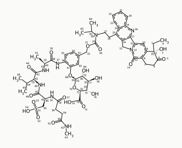 CC[C@@]1(O)C(=O)CCc2c1cc1n(c2=O)Cc2c-1nc1ccccc1c2CCN(C(=O)OCc1ccc(NC(=O)[C@H](C)NC(=O)[C@@H](NC(=O)[C@H](CS(=O)(=O)O)NC(=O)CCC(=O)NC)C(C)C)c(O[C@@H]2O[C@H](C(=O)O)[C@@H](O)[C@H](O)[C@H]2O)c1)C(C)C